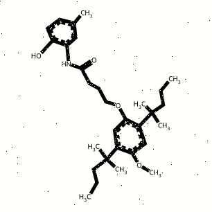 CCCC(C)(C)c1cc(OCCCC(=O)Nc2cc(C)ccc2O)c(C(C)(C)CCC)cc1OC